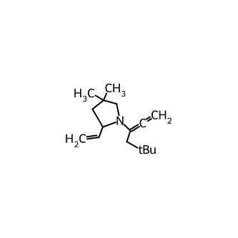 C=C=C(CC(C)(C)C)N1CC(C)(C)CC1C=C